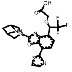 O=C(O)COC(c1ccc(-c2nccs2)c2oc(N3CC4CC(C3)N4)nc12)C(F)(F)F